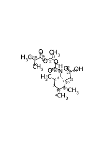 CCC[C@@H](C)[C@@H](C)[C@H](CNC(=O)O[C@@H](C)OC(=O)C(C)C)CC(=O)O